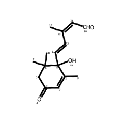 CC1=CC(=O)CC(C)(C)C1(O)C=C/C(C)=C\C=O